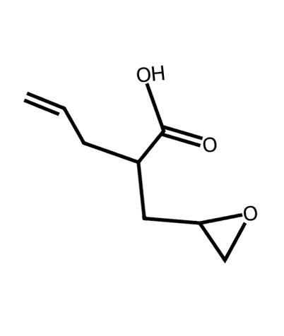 C=CCC(CC1CO1)C(=O)O